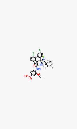 COc1cc(C(=O)O)ccc1NC(=O)[C@@H]1N[C@@H](CC(C)(C)C)[C@]2(C#N)c3c(F)cc(Cl)cc3-c3c(Cl)cccc3[C@@H]12